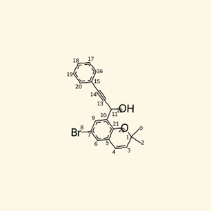 CC1(C)C=Cc2cc(Br)cc(C(O)C#Cc3ccccc3)c2O1